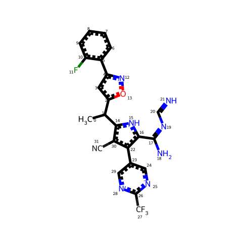 CC(c1cc(-c2ccccc2F)no1)c1[nH]c(/C(N)=N\C=N)c(-c2cnc(C(F)(F)F)nc2)c1C#N